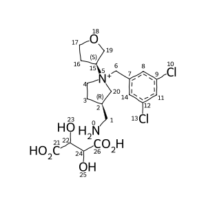 NC[C@H]1CC[N+](Cc2cc(Cl)cc(Cl)c2)([C@H]2CCOC2)C1.O=C(O)C(O)C(O)C(=O)O